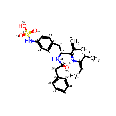 C=C(C)/C(=N\C(=C/C)CC)[C@H](Cc1ccc(NS(=O)(=O)O)cc1)NC(=O)Cc1ccccc1